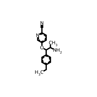 CCc1ccc(C(Oc2ccc(C#N)nc2)C(C)N)cc1